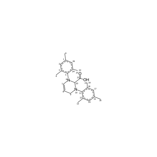 Cc1cc(C)c(N2C=CCN(c3c(C)cc(C)cc3C)C2C(=O)O)c(C)c1